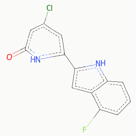 O=c1cc(Cl)cc(-c2cc3c(F)cccc3[nH]2)[nH]1